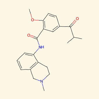 COc1ccc(C(=O)C(C)C)cc1C(=O)Nc1cccc2c1CCN(C)C2